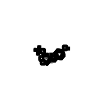 COc1ccc(C[C@@H]([C]=O)NC(=O)OC(C)(C)C)cc1